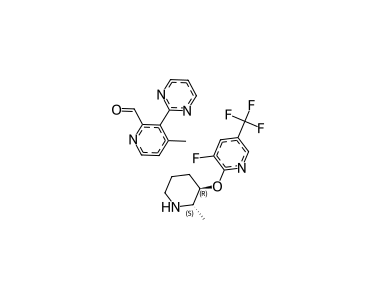 C[C@@H]1NCCC[C@H]1Oc1ncc(C(F)(F)F)cc1F.Cc1ccnc(C=O)c1-c1ncccn1